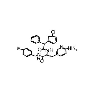 Nc1ccc(CC(NC(=O)C(c2ccccc2)c2cccc(Cl)c2)C(=O)NCc2ccc(F)cc2)cn1